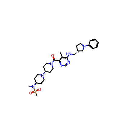 Cc1c(NC[C@@H]2CCN(c3ccccc3)C2)ncnc1C(=O)N1CCC(N2CCC(N(C)S(C)(=O)=O)CC2)CC1